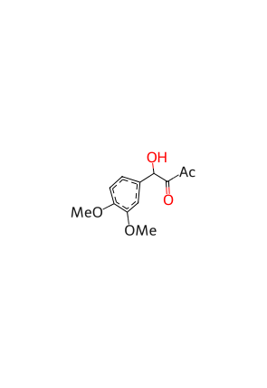 COc1ccc(C(O)C(=O)C(C)=O)cc1OC